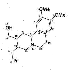 COc1cc2c(cc1OC)C1CC(CO)C(CC(C)C)CN1CC2